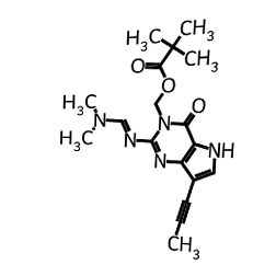 CC#Cc1c[nH]c2c(=O)n(COC(=O)C(C)(C)C)c(/N=C/N(C)C)nc12